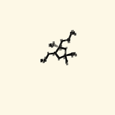 CCN1C[C@@](C)(F)C[C@]1(C)COC